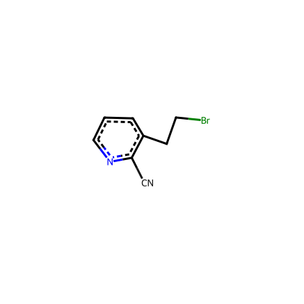 N#Cc1ncccc1CCBr